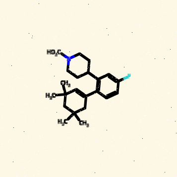 CC1(C)C=C(c2ccc(F)cc2C2CCN(C(=O)O)CC2)CC(C)(C)C1